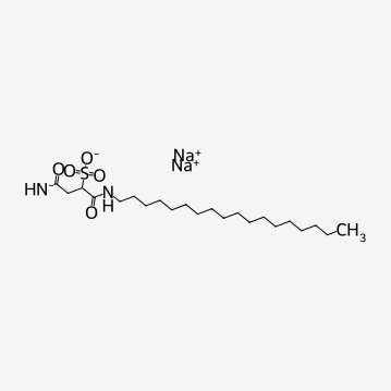 CCCCCCCCCCCCCCCCCCNC(=O)C(CC([NH-])=O)S(=O)(=O)[O-].[Na+].[Na+]